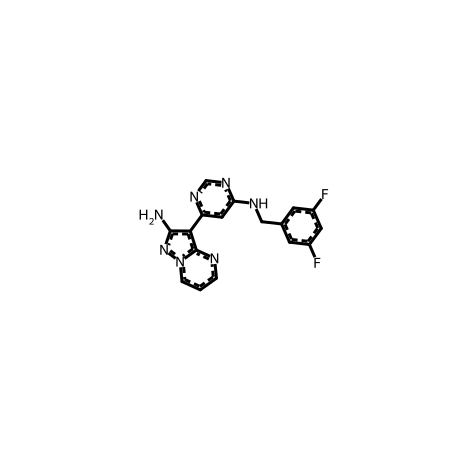 Nc1nn2cccnc2c1-c1cc(NCc2cc(F)cc(F)c2)ncn1